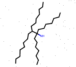 CCCCCCCCC(CCCCCCC)C([NH])(CCCCCCC)CCCCCCC